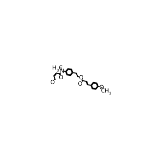 COc1ccc(/C=C/C(=O)OCCc2ccc(N(C)C(=O)/C=C\C=O)cc2)cc1